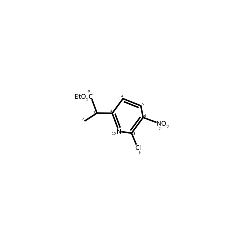 CCOC(=O)C(C)c1ccc([N+](=O)[O-])c(Cl)n1